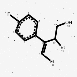 CC/C=C(/c1ccc(F)cc1)C(CC)CO